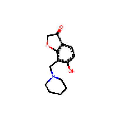 O=C1COc2c1ccc(O)c2CN1CCCCC1